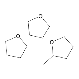 C1CCOC1.C1CCOC1.CC1CCCO1